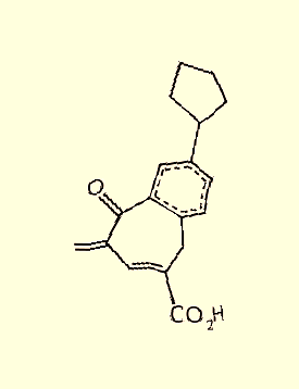 C=C1C=C(C(=O)O)Cc2ccc(C3CCCC3)cc2C1=O